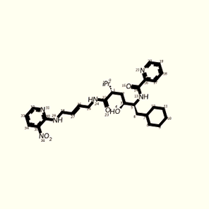 CC(C)[C@H](C[C@H](O)[C@H](CC1CCCCC1)NC(=O)c1ccccn1)C(=O)NC/C=C/CNc1ncccc1[N+](=O)[O-]